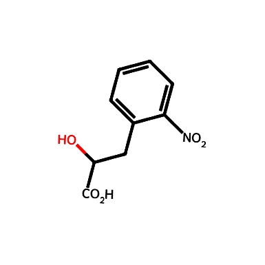 O=C(O)C(O)Cc1ccccc1[N+](=O)[O-]